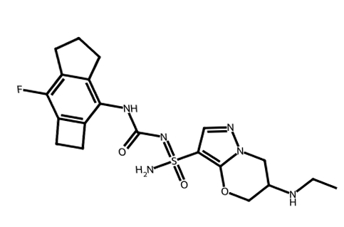 CCNC1COc2c(S(N)(=O)=NC(=O)Nc3c4c(c(F)c5c3CC5)CCC4)cnn2C1